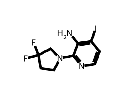 Nc1c(I)ccnc1N1CCC(F)(F)C1